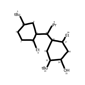 CCC1CCC(C(C)(C)C)CC1C(C(C)C)C1CC(C(C)(C)C)C(O)CC1CC